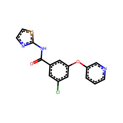 O=C(Nc1nccs1)c1cc(Cl)cc(Oc2cccnc2)c1